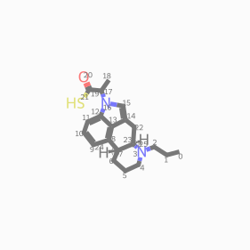 CCCN1CCC[C@@H]2c3cccc4c3c(cn4C(C)C(=O)S)C[C@H]21